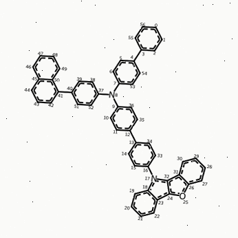 c1ccc(-c2ccc(N(c3ccc(-c4ccc(-n5c6ccccc6c6oc7ccccc7c65)cc4)cc3)c3ccc(-c4cccc5ccccc45)cc3)cc2)cc1